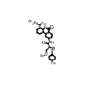 CC(C)OCC(Nc1ccc(C#N)cc1)C(=O)Nc1ccc2c(=O)[nH]c3c(C(N)=O)cccc3c2c1